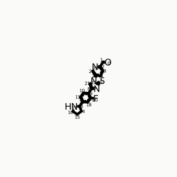 O=Cc1cc2sc3nc(-c4ccc(C5CCCN5)cc4F)cn3c2cn1